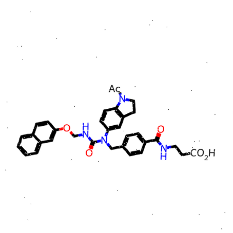 CC(=O)N1CCc2cc(N(Cc3ccc(C(=O)NCCC(=O)O)cc3)C(=O)NCOc3ccc4ccccc4c3)ccc21